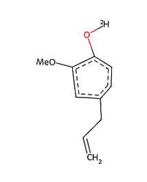 [2H]Oc1ccc(CC=C)cc1OC